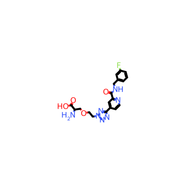 NC(COCCn1nnc(-c2ccnc(C(=O)NCc3cccc(F)c3)c2)n1)C(=O)O